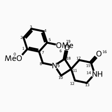 COc1cccc(OC)c1CN1CC2(CCNC(=O)C2)C1=O